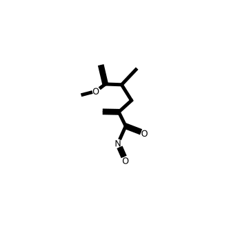 C=C(CC(C)C(=C)OC)C(=O)N=O